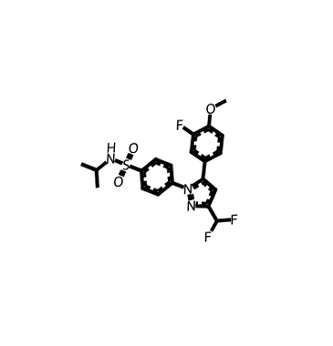 COc1ccc(-c2cc(C(F)F)nn2-c2ccc(S(=O)(=O)NC(C)C)cc2)cc1F